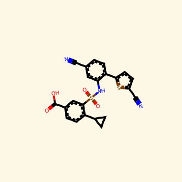 N#Cc1ccc(-c2ccc(C#N)s2)c(NS(=O)(=O)c2cc(C(=O)O)ccc2C2CC2)c1